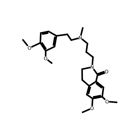 COc1ccc(CCN(C)CCCN2CCc3cc(OC)c(OC)cc3C2=O)cc1OC